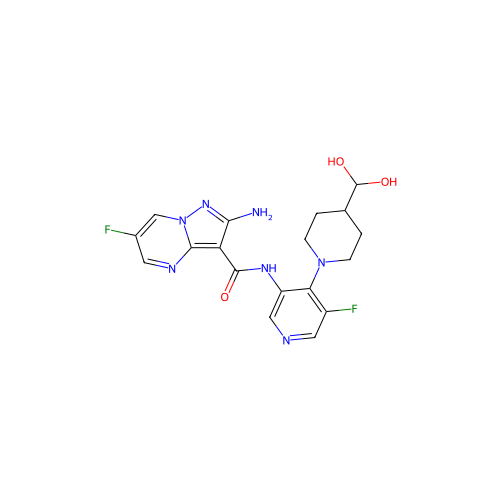 Nc1nn2cc(F)cnc2c1C(=O)Nc1cncc(F)c1N1CCC(C(O)O)CC1